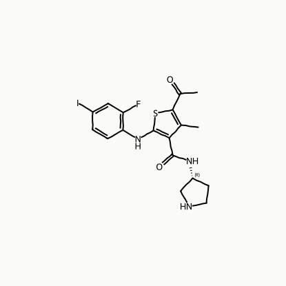 CC(=O)c1sc(Nc2ccc(I)cc2F)c(C(=O)N[C@@H]2CCNC2)c1C